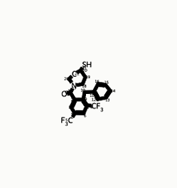 O=C(c1cc(C(F)(F)F)cc(C(F)(F)F)c1Cc1ccccc1)N1CCC(S)CC1